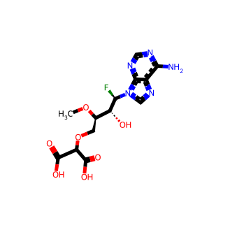 CO[C@H](COC(C(=O)O)C(=O)O)[C@@H](O)[C@@H](F)n1cnc2c(N)ncnc21